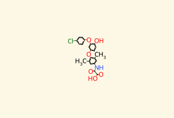 Cc1cc(NC(=O)C(=O)O)cc(C)c1Oc1ccc(O)c(Oc2ccc(Cl)cc2)c1